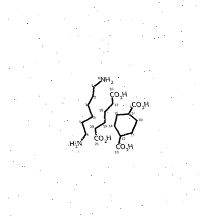 NCCCCCCN.O=C(O)C1CCC(C(=O)O)CC1.O=C(O)CCCCC(=O)O